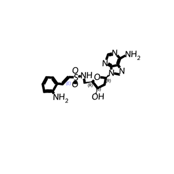 Nc1ccccc1/C=C/S(=O)(=O)NC[C@H]1O[C@@H](n2cnc3c(N)ncnc32)C[C@@H]1O